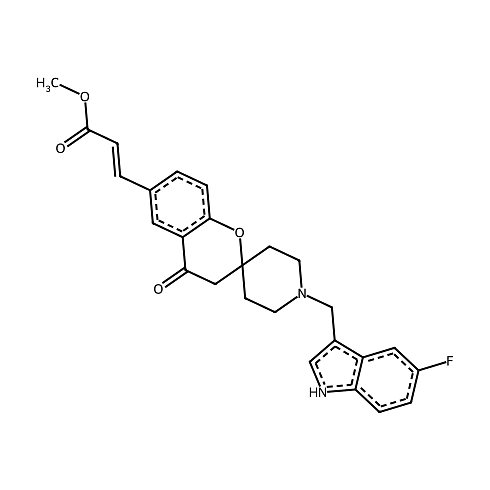 COC(=O)/C=C/c1ccc2c(c1)C(=O)CC1(CCN(Cc3c[nH]c4ccc(F)cc34)CC1)O2